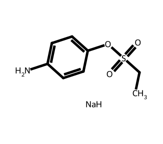 CCS(=O)(=O)Oc1ccc(N)cc1.[NaH]